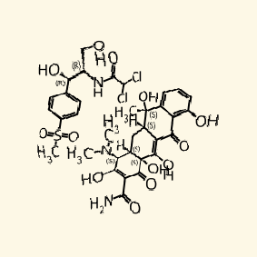 CN(C)[C@@H]1C(O)=C(C(N)=O)C(=O)[C@@]2(O)C(O)=C3C(=O)c4c(O)cccc4[C@@](C)(O)[C@H]3C[C@@H]12.CS(=O)(=O)c1ccc([C@@H](O)[C@@H](CO)NC(=O)C(Cl)Cl)cc1